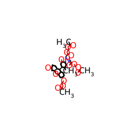 CC(=O)OCOC(=O)CN(CC(=O)OCOC(C)=O)c1cc(C)c(-c2c3ccc(=O)cc-3oc3cc(OCOC(C)=O)ccc23)cc1O